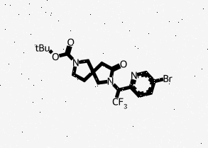 CC(C)(C)OC(=O)N1CCC2(CC(=O)N(C(c3ccc(Br)cn3)C(F)(F)F)C2)C1